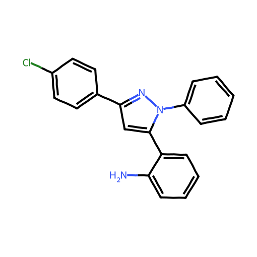 Nc1ccccc1-c1cc(-c2ccc(Cl)cc2)nn1-c1ccccc1